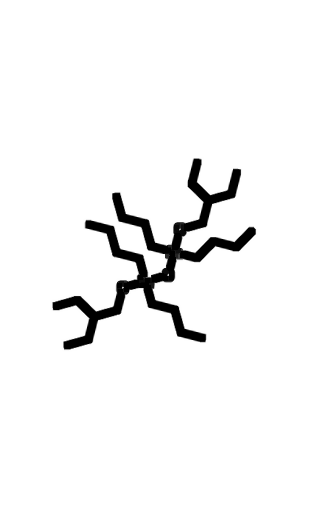 CCC[CH2][Sn]([CH2]CCC)([O]CC(CC)CC)[O][Sn]([CH2]CCC)([CH2]CCC)[O]CC(CC)CC